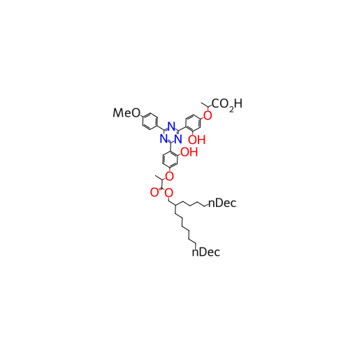 CCCCCCCCCCCCCCCCC(CCCCCCCCCCCCCC)COC(=O)C(C)Oc1ccc(-c2nc(-c3ccc(OC)cc3)nc(-c3ccc(OC(C)C(=O)O)cc3O)n2)c(O)c1